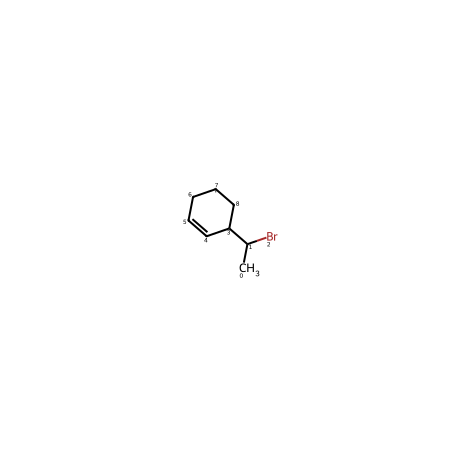 CC(Br)C1C=CC[CH]C1